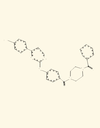 O=C(c1ccccc1)N1CCN(C(=O)c2ccc(Nc3nccc(-c4ccc(Cl)cc4)n3)cc2)CC1